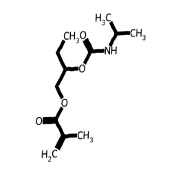 C=C(C)C(=O)OCC(CC)OC(=O)NC(C)C